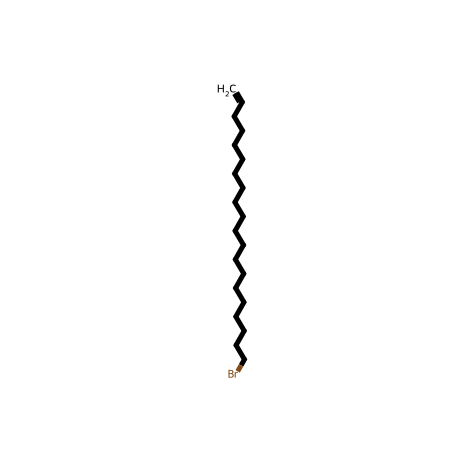 C=CCCCCCCCCCCCCCCCCCCBr